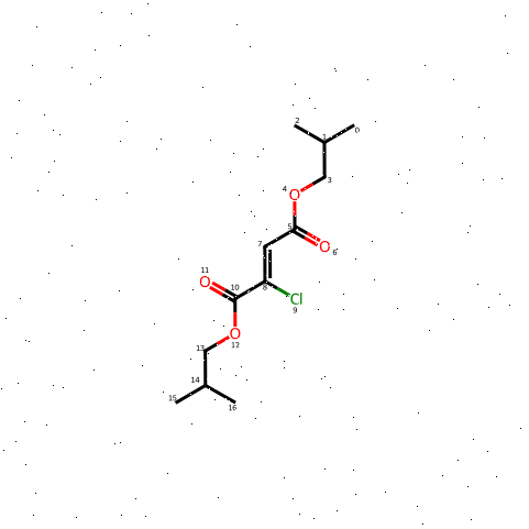 CC(C)COC(=O)C=C(Cl)C(=O)OCC(C)C